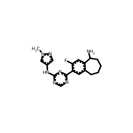 Cn1cc(Nc2ncnc(-c3cc4c(cc3F)C(N)CCCC4)n2)cn1